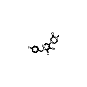 CN1CCN(c2cnn(Cc3ccc(F)cc3)c(=O)c2Br)CC1=O